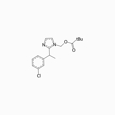 CC(c1cccc(Cl)c1)c1nccn1COC(=O)C(C)(C)C